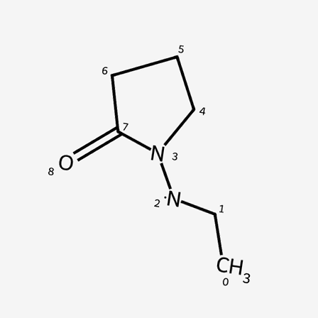 CC[N]N1CCCC1=O